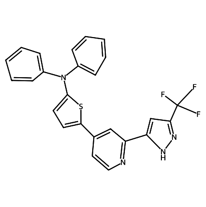 FC(F)(F)c1cc(-c2cc(-c3ccc(N(c4ccccc4)c4ccccc4)s3)ccn2)[nH]n1